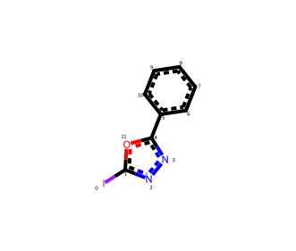 Ic1nnc(-c2ccccc2)o1